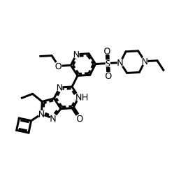 CCOc1ncc(S(=O)(=O)N2CCN(CC)CC2)cc1-c1nc2c(CC)n(C3=CC=C3)nc2c(=O)[nH]1